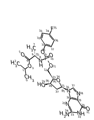 CC(C)OC(=O)[C@H](C)NP(=O)(OC[C@H]1O[C@@H](n2cnc3c(=O)[nH]c(N)nc32)C[C@H]1O)Oc1ccc(F)cc1